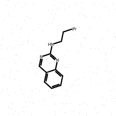 CC(C)CCNc1ncc2ccccc2n1